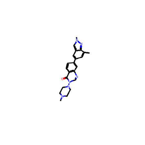 Cc1cc(-c2ccc3c(=O)n(N4CCN(C)CC4)cnc3c2)cc2cn(C)nc12